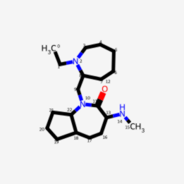 CCN1CCCCCC1CN1C(=O)C(NC)CCC2CCCC21